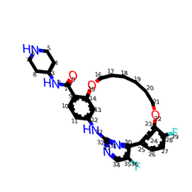 O=C(NC1CCNCC1)c1ccc2cc1OCCCCCCOc1cc(ccc1F)-c1nc(ncc1F)N2